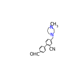 CN1CCCN(Cc2ccc(-c3ccc(C=O)cc3)c(C#N)c2)CC1